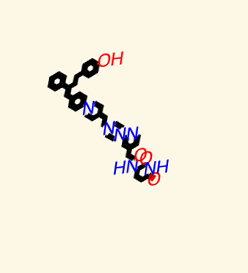 O=C1CCC(NC(=O)Cc2ccnc(N3CCN(CCC4CCN(c5ccc(/C=C(\CCc6ccc(O)cc6)c6ccccc6)cc5)CC4)CC3)c2)C(=O)N1